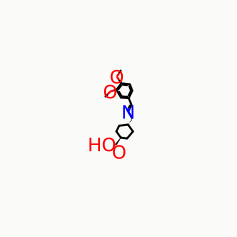 COc1ccc(C=NC[C@H]2CC[C@H](C(=O)O)CC2)cc1OC